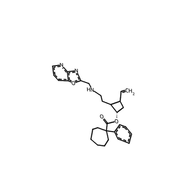 C=CC1C[C@H](OC(=O)C2(c3ccccc3)CCCCCC2)C1CCNCc1nc2ncccc2o1